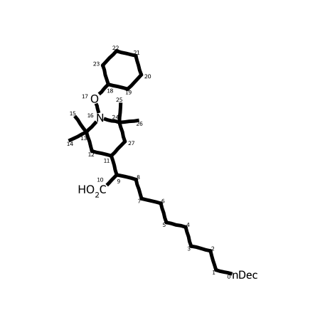 CCCCCCCCCCCCCCCCCCC(C(=O)O)C1CC(C)(C)N(OC2CCCCC2)C(C)(C)C1